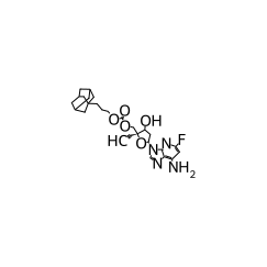 C#C[C@]1(COC(=O)OCCCC23CC4CC(CC(C4)C2)C3)O[C@@H](n2cnc3c(N)cc(F)nc32)C[C@@H]1O